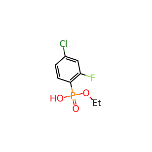 CCOP(=O)(O)c1ccc(Cl)cc1F